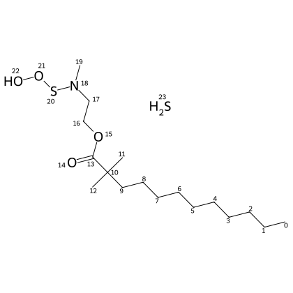 CCCCCCCCCCC(C)(C)C(=O)OCCN(C)SOO.S